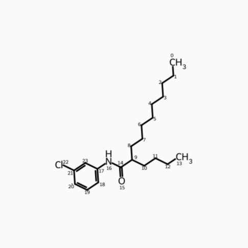 CCCCCCCCCC(CCCC)C(=O)Nc1cc[c]c(Cl)c1